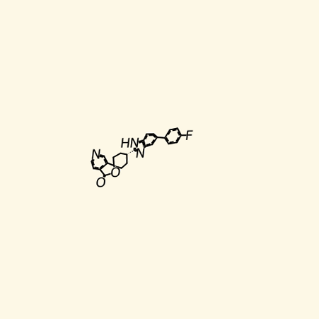 O=C1O[C@]2(CC[C@@H](c3nc4cc(-c5ccc(F)cc5)ccc4[nH]3)CC2)c2cnccc21